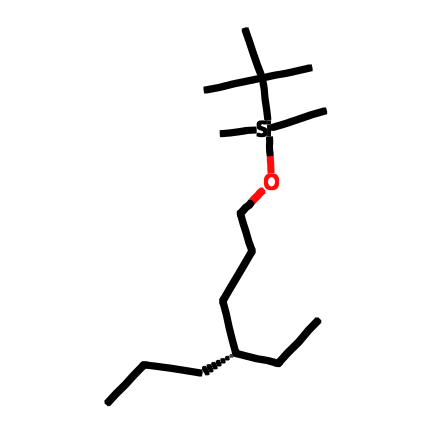 CCC[C@@H](CC)CCCO[Si](C)(C)C(C)(C)C